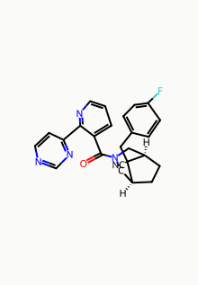 N#CC1(Cc2ccc(F)cc2)[C@@H]2CC[C@H]1CN(C(=O)c1cccnc1-c1ccncn1)C2